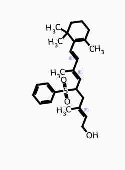 CC1=C(/C=C/C(C)=C/C(C/C(C)=C/CO)S(=O)(=O)c2ccccc2)C(C)(C)CCC1